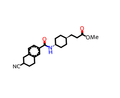 COC(=O)CC[C@H]1CC[C@H](NC(=O)c2ccc3c(c2)CCC(C#N)C3)CC1